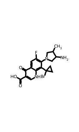 CC1CN(c2c(F)cc3c(=O)c(C(=O)O)c[nH]c3c2C2(Br)CC2)CC1N